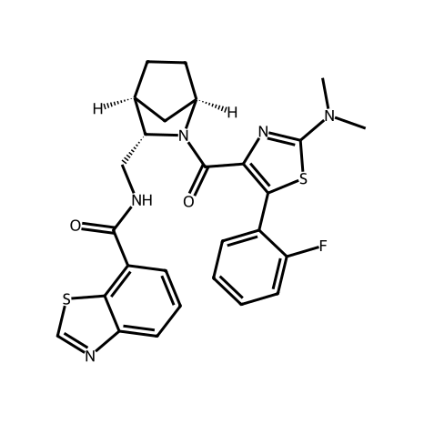 CN(C)c1nc(C(=O)N2[C@@H]3CC[C@@H](C3)[C@H]2CNC(=O)c2cccc3ncsc23)c(-c2ccccc2F)s1